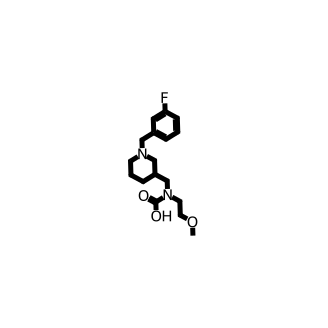 COCCN(CC1CCCN(Cc2cccc(F)c2)C1)C(=O)O